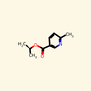 [CH2][C@H](C)OC(=O)c1ccc(C)nc1